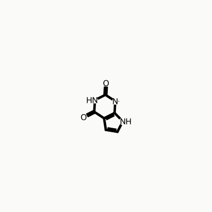 O=C1[N]c2[nH]ccc2C(=O)N1